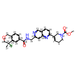 COC(=O)N1CCC=C(c2ccc3cnc(CNC(=O)c4ccc5c(c4)[C@](C)(F)COC5)cc3n2)C1